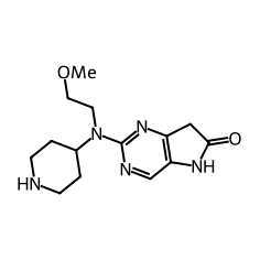 COCCN(c1ncc2c(n1)CC(=O)N2)C1CCNCC1